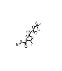 Cc1nc(NC(=O)OC(C)(C)C)sc1C(=O)CBr